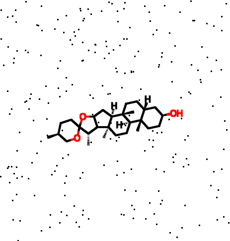 C[C@H]1CCC2(OC1)OC1C[C@H]3[C@]4(C)CC[C@@H]5C[C@@H](O)CC[C@]5(C)[C@H]4CC[C@@]3(C)C1[C@@H]2C